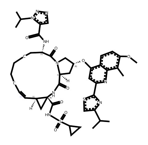 COc1ccc2c(O[C@@H]3C[C@H]4C(=O)N[C@]5(C(=O)NS(=O)(=O)C6CC6)C[C@H]5/C=C\CCCCC[C@H](NC(=O)c5cnnn5C(C)C)C(=O)N4C3)cc(-c3nc(C(C)C)cs3)nc2c1C